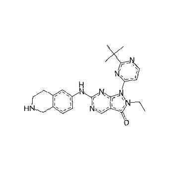 CCn1c(=O)c2cnc(Nc3ccc4c(c3)CCNC4)nc2n1-c1ccnc(C(C)(C)C)n1